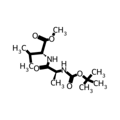 COC(=O)[C@H](NC(=O)[C@H](C)NC(=O)OC(C)(C)C)C(C)C